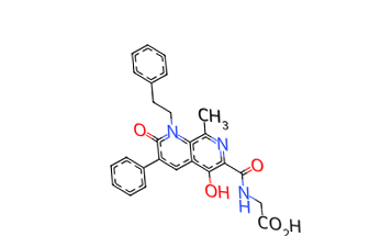 Cc1nc(C(=O)NCC(=O)O)c(O)c2cc(-c3ccccc3)c(=O)n(CCc3ccccc3)c12